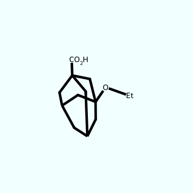 CCOC12CC3CC(C1)CC(C(=O)O)(C3)C2